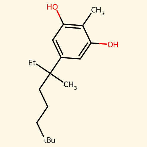 CCC(C)(CCCC(C)(C)C)c1cc(O)c(C)c(O)c1